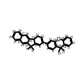 CC1(C)C2=CC(c3ccc4c(c3)Oc3ccccc3C4(C)C)=CCC2c2cc3ccccc3cc21